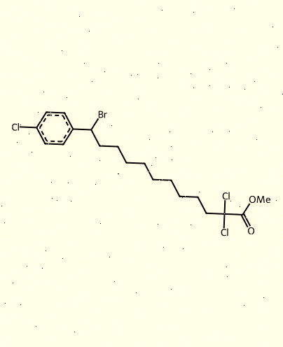 COC(=O)C(Cl)(Cl)CCCCCCCCCC(Br)c1ccc(Cl)cc1